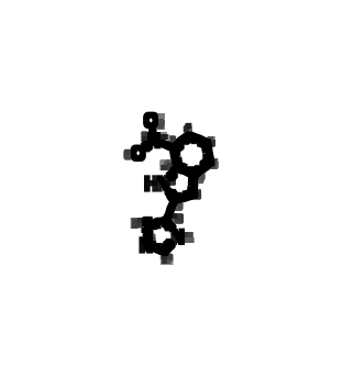 O=[N+]([O-])c1cccc2cc(-c3ncns3)[nH]c12